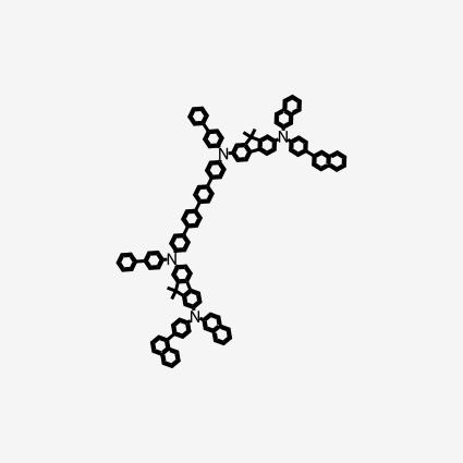 CC1(C)c2cc(N(c3ccc(-c4ccccc4)cc3)c3ccc(-c4ccc(-c5ccc(-c6ccc(N(c7ccc(-c8ccccc8)cc7)c7ccc8c(c7)C(C)(C)c7cc(N(c9ccc(-c%10cccc%11ccccc%10%11)cc9)c9ccc%10ccccc%10c9)ccc7-8)cc6)cc5)cc4)cc3)ccc2-c2ccc(N(c3ccc(-c4ccc5ccccc5c4)cc3)c3ccc4ccccc4c3)cc21